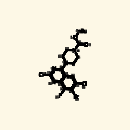 CCCCOC(=O)N1CCN(c2nc(Cl)nc3c(F)c(Br)c(Cl)cc23)CC1